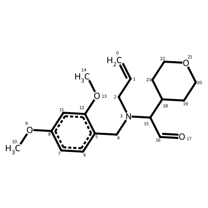 C=CCN(Cc1ccc(OC)cc1OC)C(C=O)C1CCOCC1